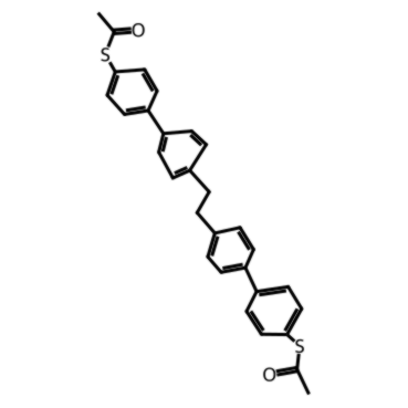 CC(=O)Sc1ccc(-c2ccc(CCc3ccc(-c4ccc(SC(C)=O)cc4)cc3)cc2)cc1